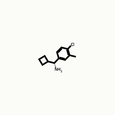 Cc1cc([C@H](N)C2CCC2)ccc1Cl